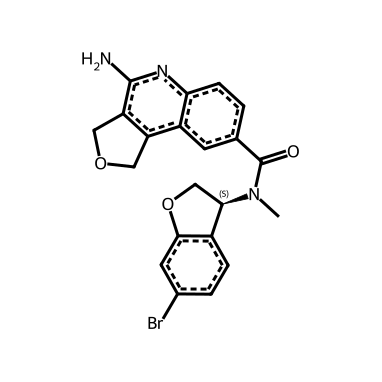 CN(C(=O)c1ccc2nc(N)c3c(c2c1)COC3)[C@@H]1COc2cc(Br)ccc21